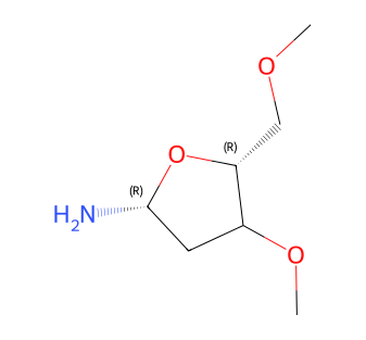 COC[C@H]1O[C@@H](N)CC1OC